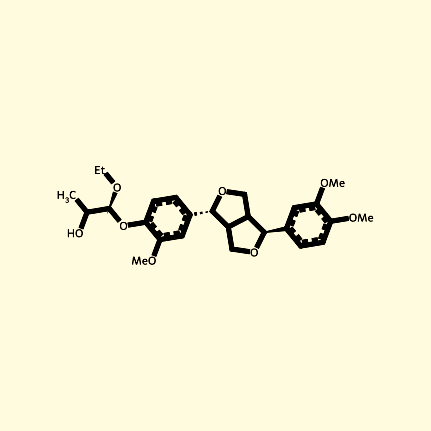 CCO[C@@H](Oc1ccc([C@@H]2OCC3C2CO[C@@H]3c2ccc(OC)c(OC)c2)cc1OC)C(C)O